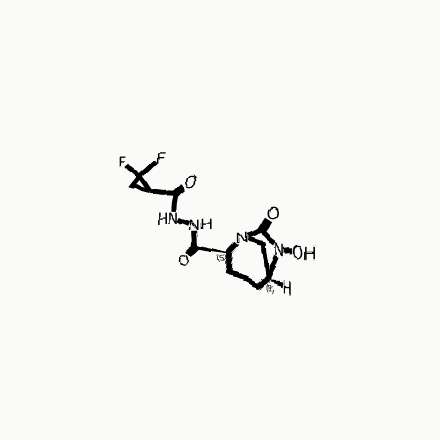 O=C(NNC(=O)[C@@H]1CC[C@@H]2CN1C(=O)N2O)C1CC1(F)F